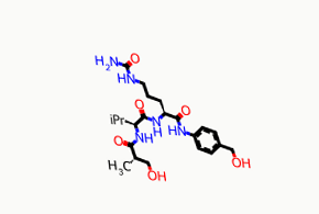 CC(C)[C@H](NC(=O)[C@@H](C)CO)C(=O)N[C@@H](CCCNC(N)=O)C(=O)Nc1ccc(CO)cc1